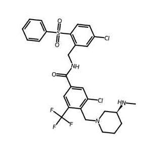 CN[C@H]1CCCN(Cc2c(Cl)cc(C(=O)NCc3cc(Cl)ccc3S(=O)(=O)c3ccccc3)cc2C(F)(F)F)C1